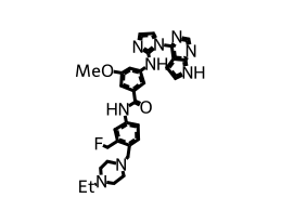 CCN1CCN(Cc2ccc(NC(=O)c3cc(Nc4nccn4-c4ncnc5[nH]ccc45)cc(OC)c3)cc2CF)CC1